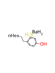 CCCCCCCCc1ccc(O)cc1.S.[BaH2]